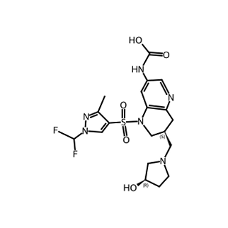 Cc1nn(C(F)F)cc1S(=O)(=O)N1C[C@H](CN2CC[C@@H](O)C2)Cc2ncc(NC(=O)O)cc21